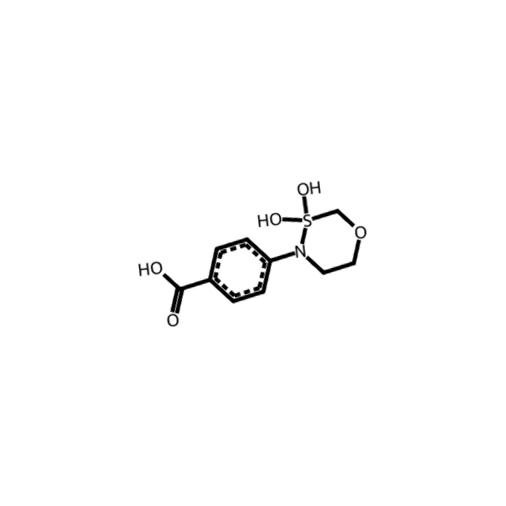 O=C(O)c1ccc(N2CCOCS2(O)O)cc1